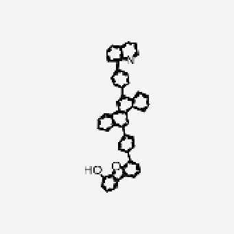 Oc1cccc2c1oc1c(-c3ccc(-c4cc5c6ccccc6c(-c6ccc(-c7cccc8cccnc78)cc6)cc5c5ccccc45)cc3)cccc12